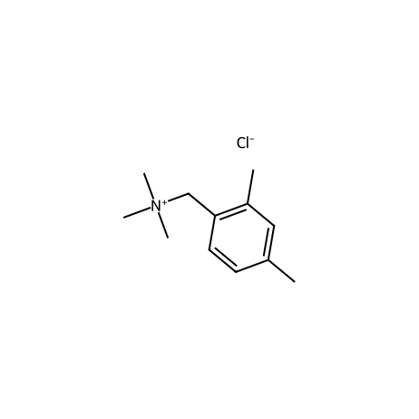 Cc1ccc(C[N+](C)(C)C)c(C)c1.[Cl-]